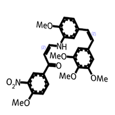 COc1ccc(/C=C\c2cc(OC)c(OC)c(OC)c2)cc1N/C=C\C(=O)c1ccc(OC)c([N+](=O)[O-])c1